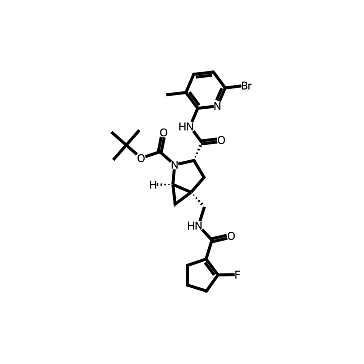 Cc1ccc(Br)nc1NC(=O)[C@@H]1C[C@@]2(CNC(=O)C3=C(F)CCC3)C[C@H]2N1C(=O)OC(C)(C)C